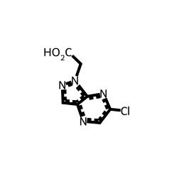 O=C(O)Cn1ncc2ncc(Cl)nc21